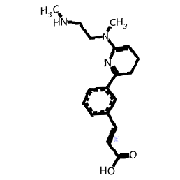 CNCCN(C)C1=CCCC(c2cccc(/C=C/C(=O)O)c2)=N1